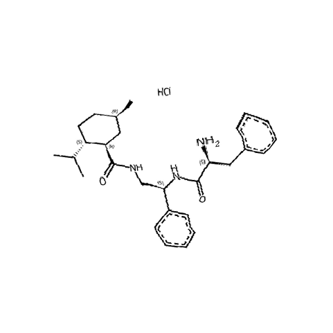 CC(C)[C@@H]1CC[C@@H](C)C[C@H]1C(=O)NC[C@@H](NC(=O)[C@@H](N)Cc1ccccc1)c1ccccc1.Cl